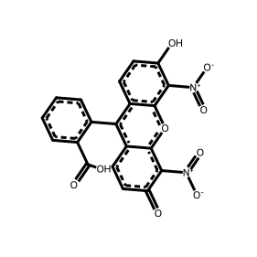 O=C(O)c1ccccc1-c1c2ccc(=O)c([N+](=O)[O-])c-2oc2c([N+](=O)[O-])c(O)ccc12